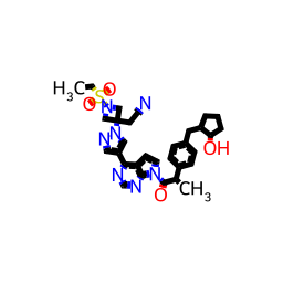 CCS(=O)(=O)N1CC(CC#N)(n2cc(-c3ncnc4c3ccn4C(=O)C(C)c3ccc(CC4CCCC4O)cc3)cn2)C1